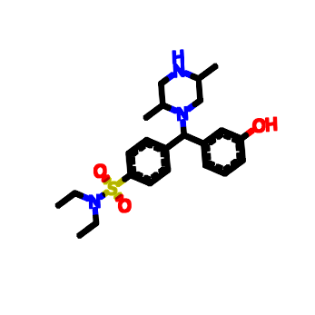 CCN(CC)S(=O)(=O)c1ccc(C(c2cccc(O)c2)N2CC(C)NCC2C)cc1